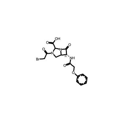 O=C(COc1ccccc1)N[C@H]1C(=O)N2C1CN(C(=O)CBr)C2C(=O)O